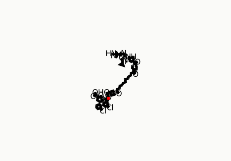 CC(C)(C)[C@@H](CS(=O)(=O)N1CCN(C(=O)CCCCCCCCCCCC(=O)N2CCN(C(=O)c3ccc(Nc4nc(C5CC5)cn5c(-c6cn[nH]c6)cnc45)c(F)c3)CC2)CC1)N1C(=O)[C@@](C)(CC(=O)O)C[C@H](c2cccc(Cl)c2)[C@H]1c1ccc(Cl)cc1